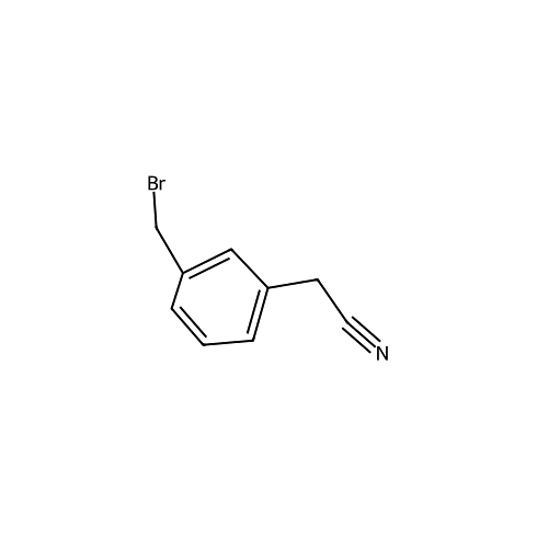 N#CCc1cccc(CBr)c1